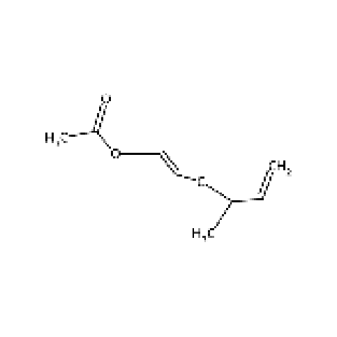 C=CC(C)CC=COC(C)=O